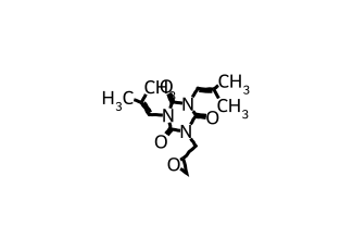 CC(C)=Cn1c(=O)n(C=C(C)C)c(=O)n(CC2CO2)c1=O